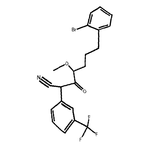 COC(CCCc1ccccc1Br)C(=O)C(C#N)c1cccc(C(F)(F)F)c1